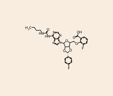 CCCCNC(=O)Nc1ncnc2c1ncn2C1OC(COc2c(F)cccc2C(=O)O)C2O[C@H](c3ccc(F)cc3)OC21